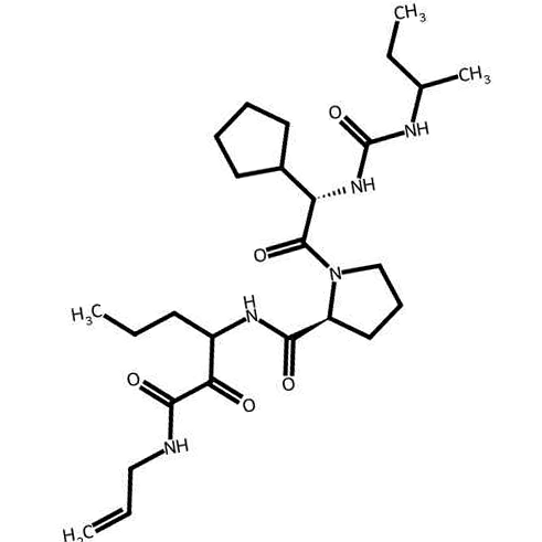 C=CCNC(=O)C(=O)C(CCC)NC(=O)[C@@H]1CCCN1C(=O)[C@@H](NC(=O)NC(C)CC)C1CCCC1